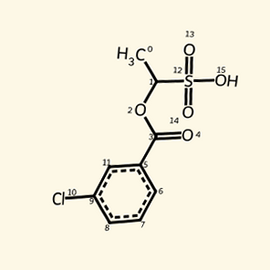 CC(OC(=O)c1cccc(Cl)c1)S(=O)(=O)O